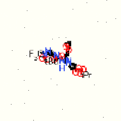 CC(C)OC(=O)OC(=O)c1ccc(-n2cc(NC(=O)c3coc(-c4ccnc(N(CC(F)(F)F)C(=O)OC(C)(C)C)c4)n3)c(CCCOC3CCCCO3)n2)cc1